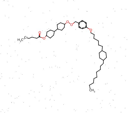 [CH2+][CH-]CCCC(=O)OC1CCC(C2CCC(OOCc3ccc(OCCCCCCC4CCC(CCCCCCCCC)CC4)cc3)CC2)CC1